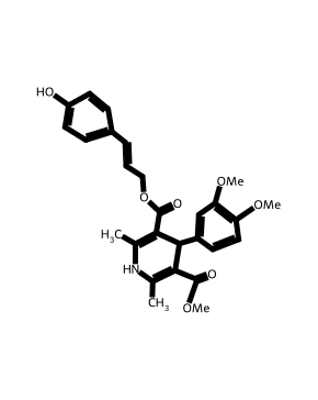 COC(=O)C1=C(C)NC(C)=C(C(=O)OC/C=C/c2ccc(O)cc2)C1c1ccc(OC)c(OC)c1